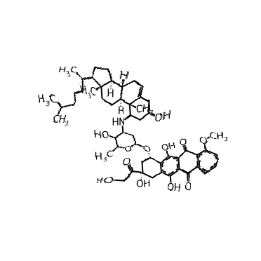 COc1cccc2c1C(=O)c1c(O)c3c(c(O)c1C2=O)C[C@@](O)(C(=O)CO)C[C@@H]3OC1CC(NC2C[C@H](O)CC3=CC[C@H]4[C@@H]5CC[C@H]([C@H](C)CCCC(C)C)[C@@]5(C)CC[C@@H]4[C@]32C)C(O)C(C)O1